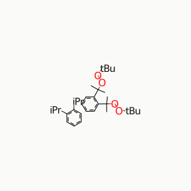 CC(C)(C)OOC(C)(C)c1ccccc1C(C)(C)OOC(C)(C)C.CC(C)c1ccccc1C(C)C